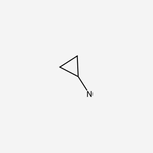 [N]C1CC1